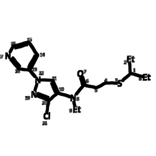 CCC(CC)SCCC(=O)N(CC)c1cn(-c2cccnc2)nc1Cl